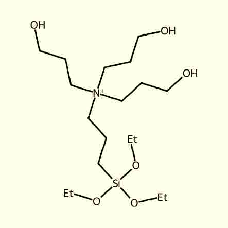 CCO[Si](CCC[N+](CCCO)(CCCO)CCCO)(OCC)OCC